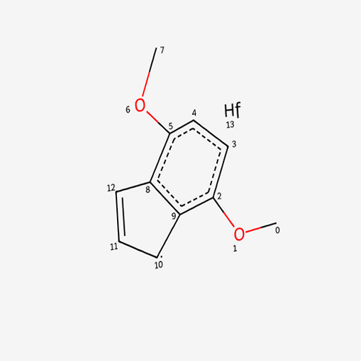 COc1ccc(OC)c2c1[CH]C=C2.[Hf]